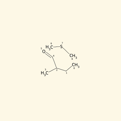 CCC(C)C=O.CSC